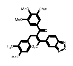 COc1ccc(C/C(C(=O)c2cc(OC)c(OC)c(OC)c2)=C(\C(=O)O)c2ccc3nsnc3c2)cc1C